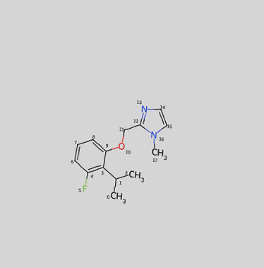 CC(C)c1c(F)cccc1OCc1nccn1C